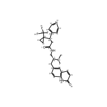 CN(C)[C@H](CNC(=O)C[C@H](c1ccncc1)C1(C(F)(F)F)CC1)Cc1ccc2[nH]c(=O)ccc2c1